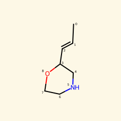 CC=CC1CNCCO1